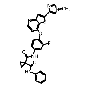 Cn1cnc(-c2cc3nccc(Oc4ccc(NC(=O)C5(C(=O)Nc6ccccc6)CC5)cc4F)c3s2)c1